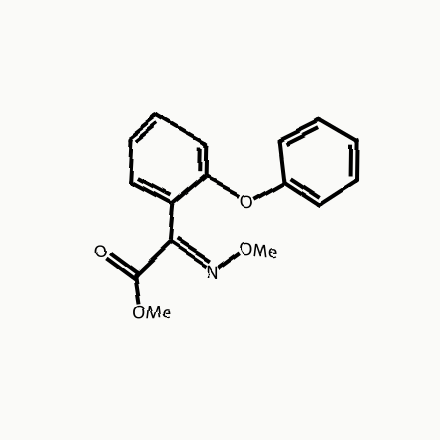 CO/N=C(/C(=O)OC)c1ccccc1Oc1ccccc1